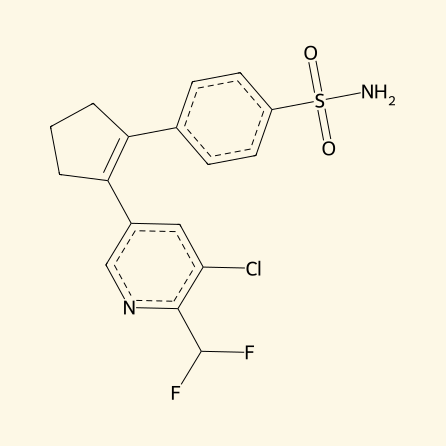 NS(=O)(=O)c1ccc(C2=C(c3cnc(C(F)F)c(Cl)c3)CCC2)cc1